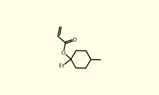 C=CC(=O)OC1(CC)CCC(C)CC1